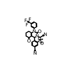 CS(=O)(=O)c1cc(C#N)ccc1C1C2=C(CCCC2=O)N(c2cccc(C(F)(F)F)c2)C(=O)N1CC#N